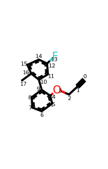 C#CCOc1[c]cccc1-c1cc(F)ccc1C